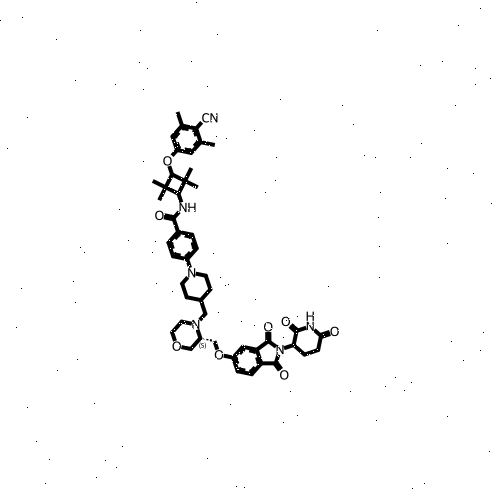 Cc1cc(OC2C(C)(C)C(NC(=O)c3ccc(N4CCC(CN5CCOC[C@H]5COc5ccc6c(c5)C(=O)N(C5CCC(=O)NC5=O)C6=O)CC4)cc3)C2(C)C)cc(C)c1C#N